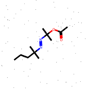 CCCC(C)(C)N=NC(C)(C)OC(C)=O